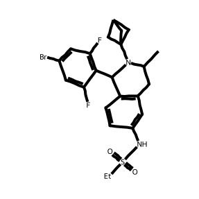 CCS(=O)(=O)Nc1ccc2c(c1)CC(C)N(C13CC(C1)C3)C2c1c(F)cc(Br)cc1F